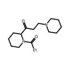 CCC(=O)N1CCCCC1C(=O)CCN1CCCCC1